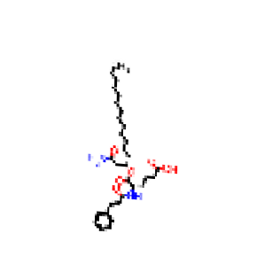 CCCCCCCCCCCCC[C@@H](CC(N)=O)OC(=O)[C@H](CCCC(=O)O)NC(=O)C=Cc1ccccc1